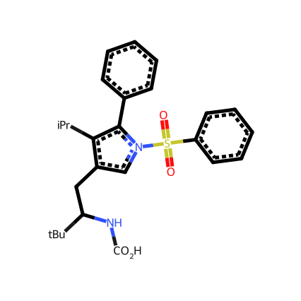 CC(C)c1c(CC(NC(=O)O)C(C)(C)C)cn(S(=O)(=O)c2ccccc2)c1-c1ccccc1